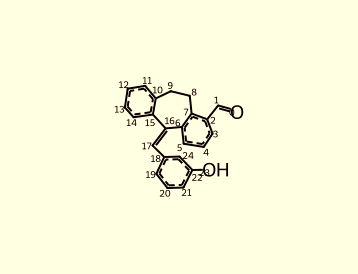 O=Cc1cccc2c1CCc1ccccc1/C2=C/c1cccc(O)c1